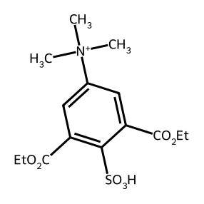 CCOC(=O)c1cc([N+](C)(C)C)cc(C(=O)OCC)c1S(=O)(=O)O